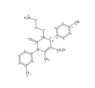 CCOC(=O)C1=C(C)N(c2cccc(C(F)(F)F)c2)C(=O)N(CCCN)[C@@H]1c1ccc(C#N)cc1